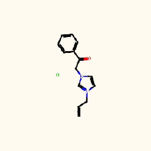 C=CC[n+]1ccn(CC(=O)c2ccccc2)c1.[Cl-]